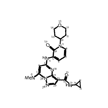 CNc1cc(Nc2cccn(C3CCOCC3)c2=O)nc2c(C(=O)NC3CC3)cnn12